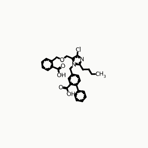 CCCCc1nc(Cl)c(COCc2ccccc2C(=O)O)n1Cc1ccc(-c2ccccc2)c(C(=O)O)c1